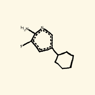 Nc1ncc(C2CCCCC2)cc1F